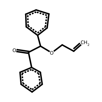 C=CCOC(C(=O)c1ccccc1)c1ccccc1